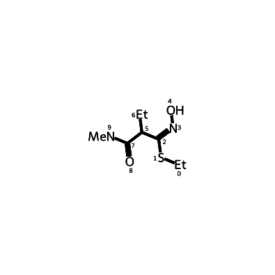 CCSC(=NO)C(CC)C(=O)NC